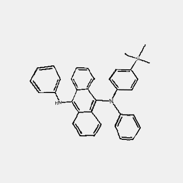 C[Si](C)(C)c1ccc(N(c2ccccc2)c2c3ccccc3c(Nc3ccccc3)c3ccccc23)cc1